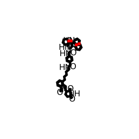 O=C1CCC(N2Cc3c(CCCCCNC(=O)c4ccc(NC(=O)[C@@H]5NC6(CCCCC6)[C@@]6(C(=O)Nc7ccccc76)[C@H]5c5ccccc5)cc4)cccc3C2=O)C(=O)N1